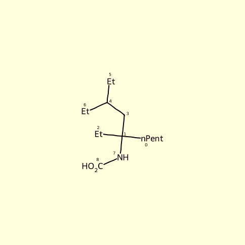 CCCCCC(CC)(CC(CC)CC)NC(=O)O